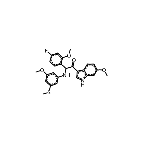 COc1cc(NC(C(=O)c2c[nH]c3cc(OC)ccc23)c2ccc(F)cc2OC)cc(SC)c1